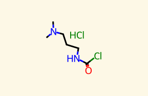 CN(C)CCCNC(=O)Cl.Cl